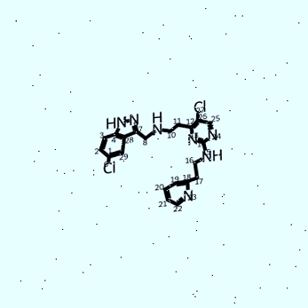 Clc1ccc2[nH]nc(CNCCc3nc(NCCc4ccccn4)ncc3Cl)c2c1